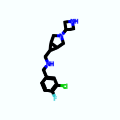 Fc1ccc(CNCC2C3CN(C4CNC4)CC23)cc1Cl